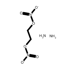 N.N.O=[N+]([O-])OCCO[N+](=O)[O-]